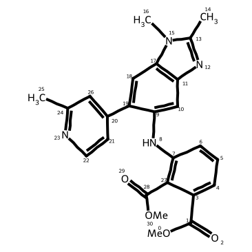 COC(=O)c1cccc(Nc2cc3nc(C)n(C)c3cc2-c2ccnc(C)c2)c1C(=O)OC